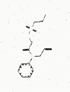 C=CCN(C(=O)COS(=O)(=O)CCC)c1ccccc1